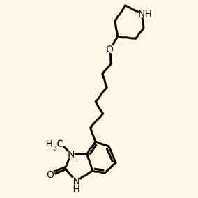 Cn1c(=O)[nH]c2cccc(CCCCCCOC3CCNCC3)c21